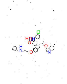 C[C@@H](COc1ccnc2c1[C@H](C)CCC2)CC1Cc2ccc(OCCCCNCc3ccccc3)cc2C12CCC(Nc1cccc(Cl)c1)(C(=O)O)CC2